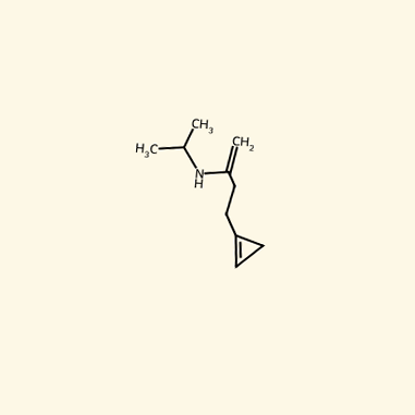 C=C(CCC1=CC1)NC(C)C